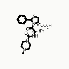 CC(C)[C@H](NC(=O)N1CCN(C)CC1)C(=O)N1C(c2ccccc2)SC[C@H]1C(=O)O